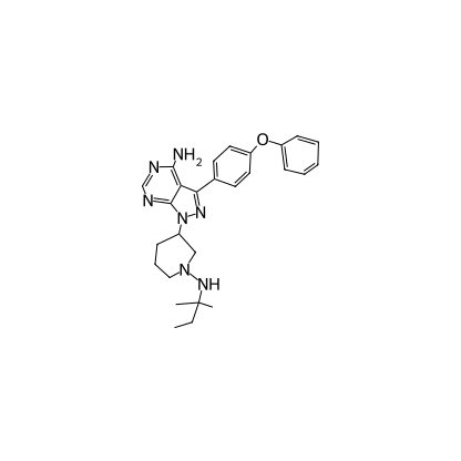 CCC(C)(C)NN1CCCC(n2nc(-c3ccc(Oc4ccccc4)cc3)c3c(N)ncnc32)C1